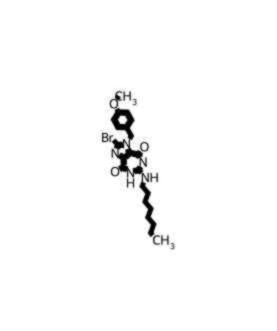 CCCCCCCCNc1nc(=O)c2c(nc(Br)n2Cc2ccc(OC)cc2)c(=O)[nH]1